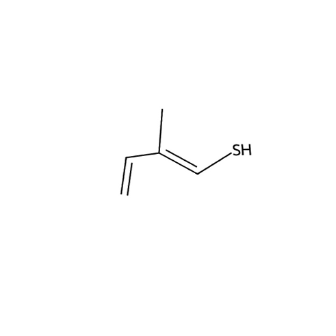 C=CC(C)=CS